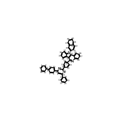 c1ccc(-c2ccc(-c3cc(-c4ccccc4)nc(-c4ccc(-c5nc6ccccc6c6c5c5ccccc5n6-c5ccc6ccccc6c5)cc4)n3)cc2)cc1